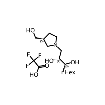 CCCCCC[C@H](O)[C@H](O)CN1CC[C@H](CO)C1.O=C(O)C(F)(F)F